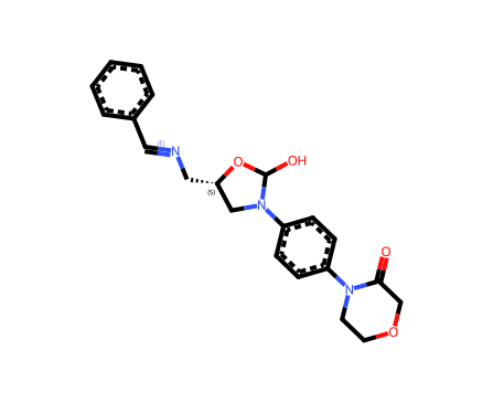 O=C1COCCN1c1ccc(N2C[C@H](C/N=C/c3ccccc3)OC2O)cc1